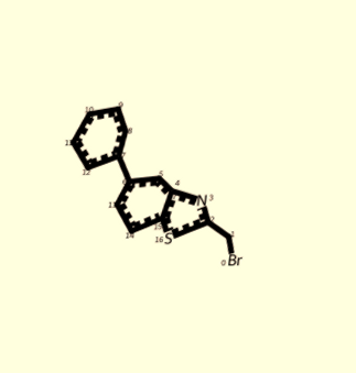 BrCc1nc2cc(-c3ccccc3)ccc2s1